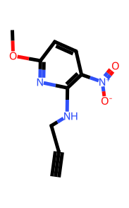 C#CCNc1nc(OC)ccc1[N+](=O)[O-]